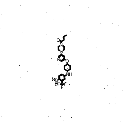 CCCC(=O)N1CCN(c2cncc(OC3CCC(Nc4ccc([N+](=O)[O-])c(C(F)(F)F)c4)CC3)c2)CC1